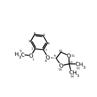 COc1ccccc1O[C@@H]1COC(C)(C)O1